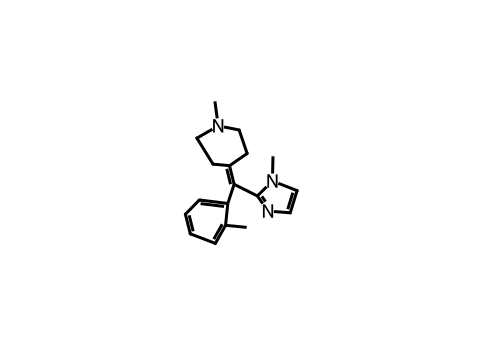 Cc1ccccc1C(=C1CCN(C)CC1)c1nccn1C